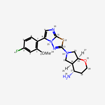 COc1cc(F)ccc1-c1cnc2sc(N3C[C@@H]4[C@@H](N)CCO[C@@H]4C3)nn12